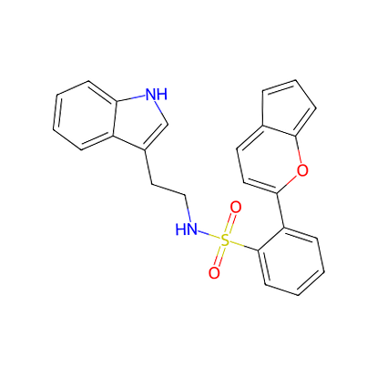 O=S(=O)(NCCc1c[nH]c2ccccc12)c1ccccc1-c1ccc2cccc-2o1